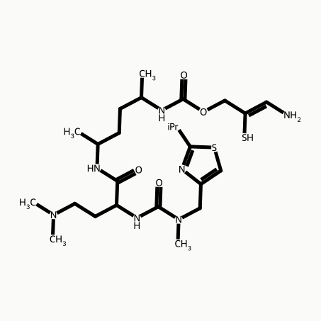 CC(CCC(C)NC(=O)C(CCN(C)C)NC(=O)N(C)Cc1csc(C(C)C)n1)NC(=O)OC/C(S)=C/N